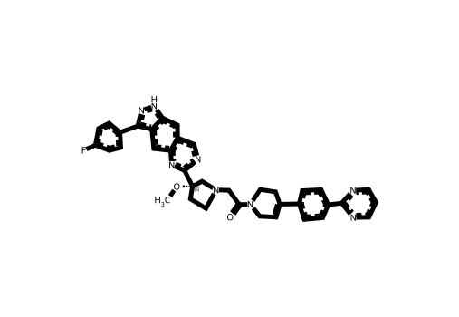 CO[C@@]1(c2ncc3cc4[nH]nc(-c5ccc(F)cc5)c4cc3n2)CCN(CC(=O)N2CC=C(c3ccc(-c4ncccn4)cc3)CC2)C1